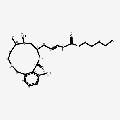 CCCCCOC(=O)N/C=C/CC1CC(O)C(C)CCCCc2cccc(O)c2C(=O)O1